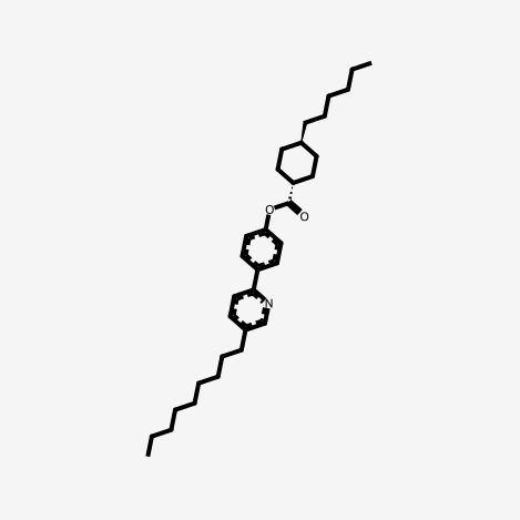 CCCCCCCCCc1ccc(-c2ccc(OC(=O)[C@H]3CC[C@H](CCCCCC)CC3)cc2)nc1